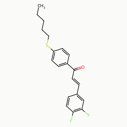 CCCCCSc1ccc(C(=O)C=Cc2ccc(F)c(F)c2)cc1